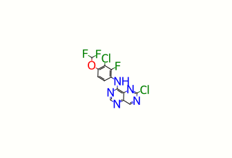 Fc1c(Nc2ncnc3cnc(Cl)nc23)ccc(OC(F)F)c1Cl